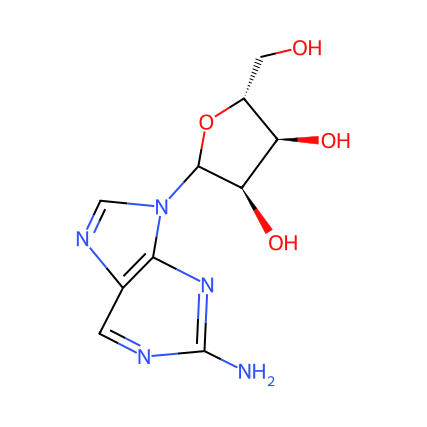 Nc1ncc2ncn(C3O[C@H](CO)[C@@H](O)[C@H]3O)c2n1